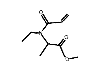 C=CC(=O)N(CC)C(C)C(=O)OC